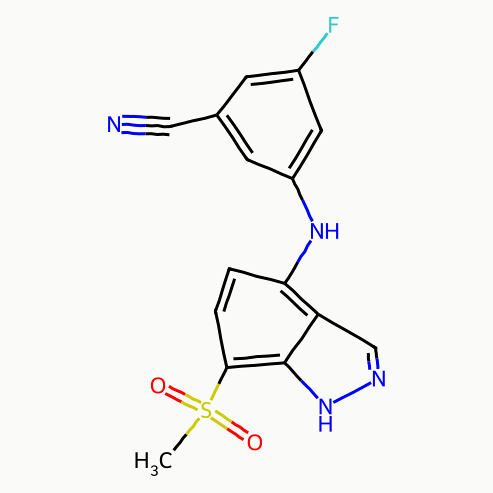 CS(=O)(=O)c1ccc(Nc2cc(F)cc(C#N)c2)c2cn[nH]c12